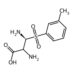 Cc1cccc(S(=O)(=O)[C@H](N)C(N)C(=O)O)c1